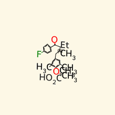 CCC(C(=O)c1ccc(F)cc1)[C@H](C)Cc1cc(C)c(OC(C)(C)C(=O)O)c(C)c1